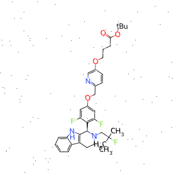 C[C@@H]1Cc2c([nH]c3ccccc23)[C@@H](c2c(F)cc(OCc3ccc(OCCCC(=O)OC(C)(C)C)cn3)cc2F)N1CC(C)(C)F